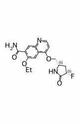 CCOc1cc2c(OC[C@@H]3C[C@H](F)C(=O)N3)ccnc2cc1C(N)=O